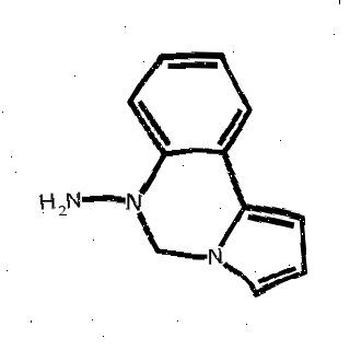 NN1Cn2cccc2-c2ccccc21